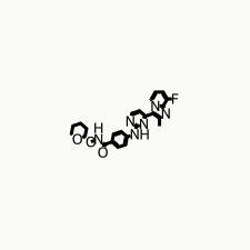 Cc1nc2c(F)cccn2c1-c1ccnc(Nc2ccc(C(=O)NOC3CCCCO3)cc2)n1